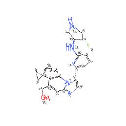 CC1(c2cn3c(-c4cccc(N[C@H]5CNC[C@@H]5F)n4)cnc3cc2CO)CC1